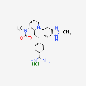 Cc1nc2cc(N3CC=CC(N(C)C(=O)O)=C3CCc3ccc(C(=N)N)cc3)ccc2[nH]1.Cl